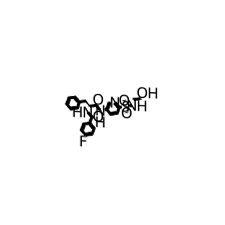 O=C(N[C@@H](Cc1ccccc1)C(=O)Nc1ccc(S(=O)(=O)NCCO)nc1)c1ccc(F)cc1